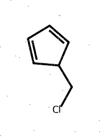 ClCC1C=CC=C1